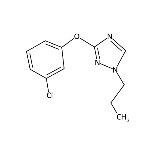 CCCn1cnc(Oc2cccc(Cl)c2)n1